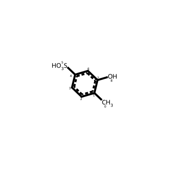 Cc1ccc(S(=O)(=O)O)cc1O